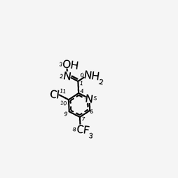 NC(=NO)c1ncc(C(F)(F)F)cc1Cl